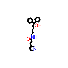 O=C(C=Cc1cccnc1)NCCCCCC(O)(c1ccccc1)c1ccccc1